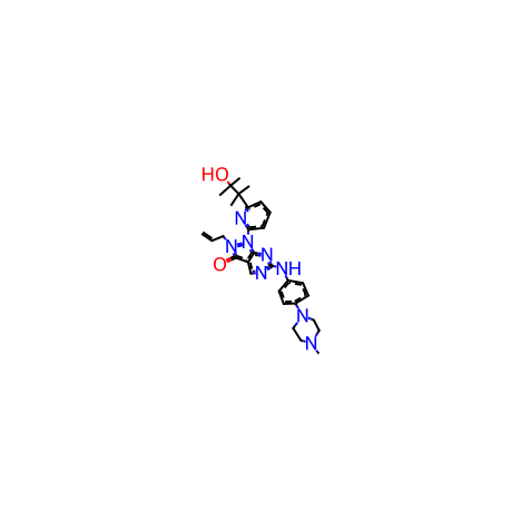 C=CCn1c(=O)c2cnc(Nc3ccc(N4CCN(C)CC4)cc3)nc2n1-c1cccc(C(C)(C)C(C)(C)O)n1